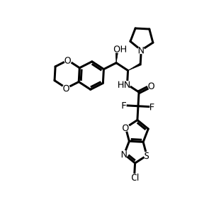 O=C(N[C@H](CN1CCCC1)[C@H](O)c1ccc2c(c1)OCCO2)C(F)(F)c1cc2sc(Cl)nc2o1